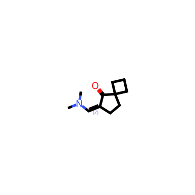 CN(C)/C=C1/CCC2(CCC2)C1=O